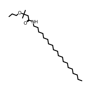 CCCCCCCCCCCCCCCCCCCCNC(=O)CC(C)(C)OCCC